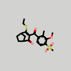 CCSC1=C(C(=O)c2ccc(S(C)(=O)=O)c(OC)c2C)C(=O)C2CCC1C2